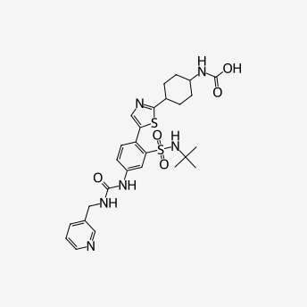 CC(C)(C)NS(=O)(=O)c1cc(NC(=O)NCc2cccnc2)ccc1-c1cnc(C2CCC(NC(=O)O)CC2)s1